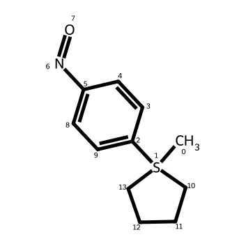 CS1(c2ccc(N=O)cc2)CCCC1